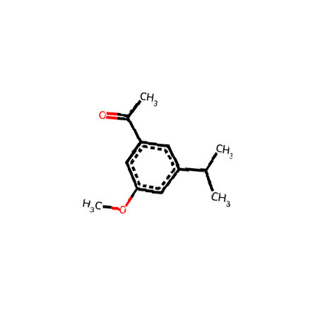 COc1cc(C(C)=O)cc(C(C)C)c1